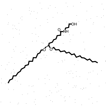 CCCCCCCCCCCCCCCCCCOC[C@@H](CCCCCCC(=O)NCCCO)OCCCCCCCCCCCCCCCCCC